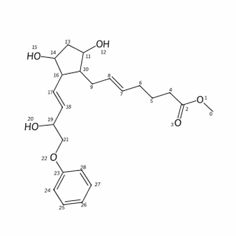 COC(=O)CCCC=CCC1C(O)CC(O)C1C=CC(O)COc1ccccc1